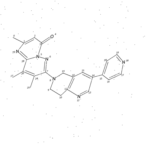 Cc1cc(=O)n2nc(N3CCc4ncc(-c5ccncc5)cc4C3)c(C)c(C)c2n1